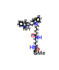 CCCN1/C(=C/C=C/C2=[N+](CCCCCC(=O)NCCCCNC(=O)COC)c3ccccc3C2(C)C)C(C)(C)c2ccccc21